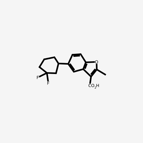 Cc1oc2ccc(C3CCCC(F)(F)C3)cc2c1C(=O)O